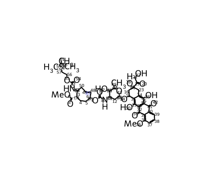 COC(=O)[C@H]1CC[C@@H](OC(=O)N[C@H]2C[C@@H](OC3C[C@](O)(C(=O)CO)Cc4c(O)c5c(c(O)c43)C(=O)c3c(OC)cccc3C5=O)O[C@@H](C)[C@H]2O)/C=C/C[C@@H]1NC(=O)OCC[Si](C)(C)C